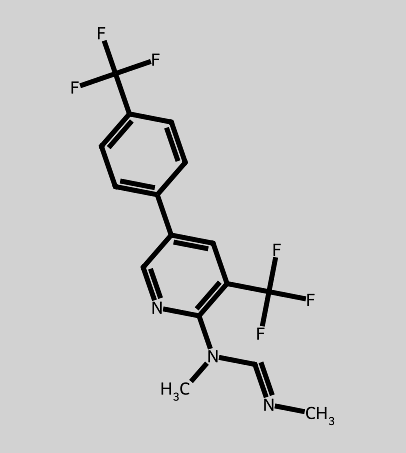 CN=CN(C)c1ncc(-c2ccc(C(F)(F)F)cc2)cc1C(F)(F)F